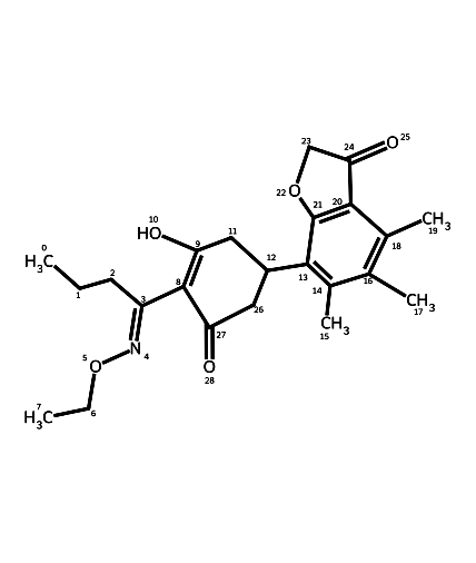 CCCC(=NOCC)C1=C(O)CC(c2c(C)c(C)c(C)c3c2OCC3=O)CC1=O